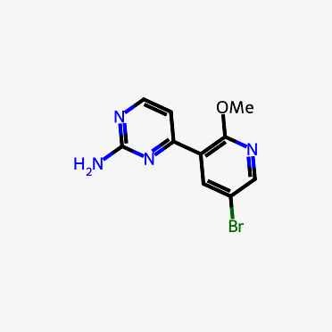 COc1ncc(Br)cc1-c1ccnc(N)n1